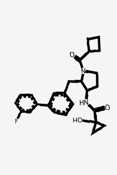 O=C(C1CCC1)N1CCC(NC(=O)C2(O)CC2)C1Cc1cccc(-c2cccc(F)c2)c1